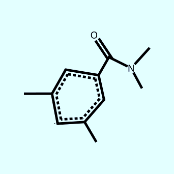 Cc1[c]c(C)cc(C(=O)N(C)C)c1